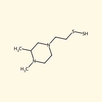 CC1CN(CCSS)CCN1C